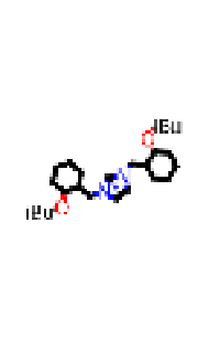 CCC(C)OC1CCCCC1Cn1cc[n+](CC2CCCCC2OC(C)CC)c1